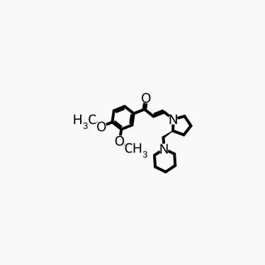 COc1ccc(C(=O)/C=C/N2CCC[C@H]2CN2CCCCC2)cc1OC